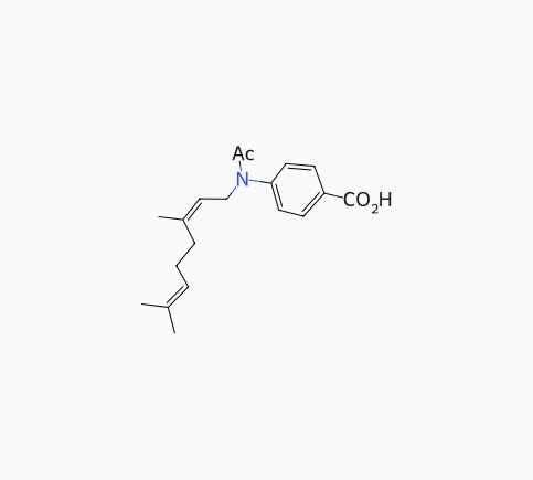 CC(=O)N(CC=C(C)CCC=C(C)C)c1ccc(C(=O)O)cc1